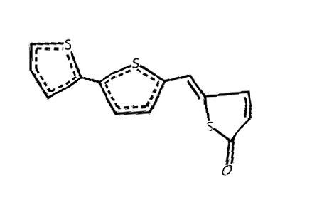 O=C1C=C/C(=C/c2ccc(-c3cccs3)s2)S1